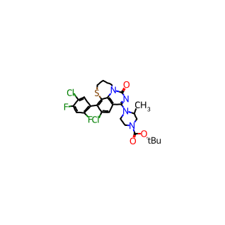 CC1CN(C(=O)OC(C)(C)C)CCN1c1nc(=O)n2c3c(c(-c4cc(Cl)c(F)cc4F)c(Cl)cc13)SCCC2